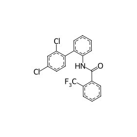 O=C(Nc1ccccc1-c1ccc(Cl)cc1Cl)c1ccccc1C(F)(F)F